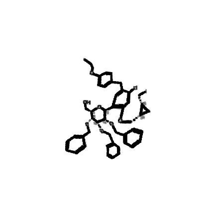 CCOc1ccc(Cc2cc([C@@H]3O[C@H](CO)[C@@H](OCc4ccccc4)[C@@H](OCc4ccccc4)[C@H]3OCc3ccccc3)c(OC[C@H]3C[C@H]3CI)cc2Cl)cc1